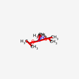 CCCCCC(CCCCC)CCCOC(=O)CCCCCCCN(CCCCCCCC(=O)OCCCC(CCCCC)CCCCC)CCCNC(=O)OC(C)(C)C